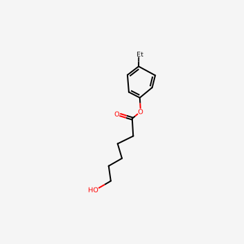 CCc1ccc(OC(=O)CCCCCO)cc1